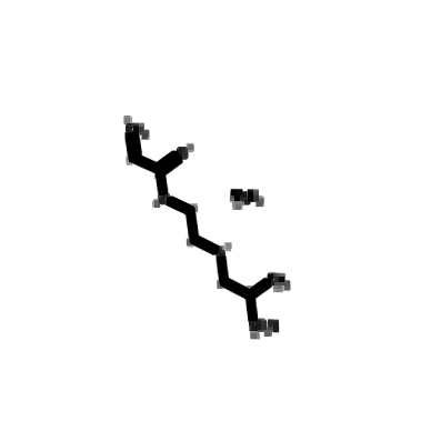 C=CC(=O)OCCSCC(C)S(=O)(=O)O.[MgH2]